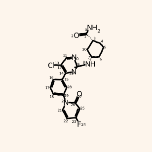 NC(=O)[C@@H]1CCC[C@H](Nc2ncc(Cl)c(-c3cccc(-n4ccc(F)cc4=O)c3)n2)C1